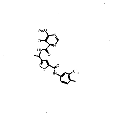 COc1ncnc(C(=O)NC(C)c2cc(C(=O)Nc3ccc(C)c(C(F)(F)F)c3)on2)c1Cl